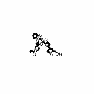 C=CC(=O)N1CC[C@]2(C1)C[C@H](n1c(NC(=O)c3ccc(-c4ccnc(CO)c4)s3)nc3ccccc31)C2